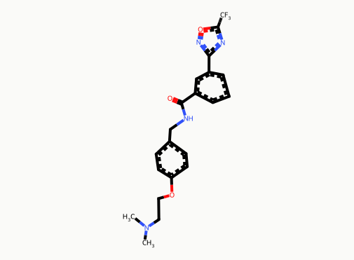 CN(C)CCOc1ccc(CNC(=O)c2cccc(-c3noc(C(F)(F)F)n3)c2)cc1